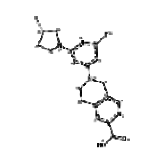 O=C(O)c1cc2c(cn1)CN(c1cc(F)nc(N3CC[C@H](F)C3)c1)CC2